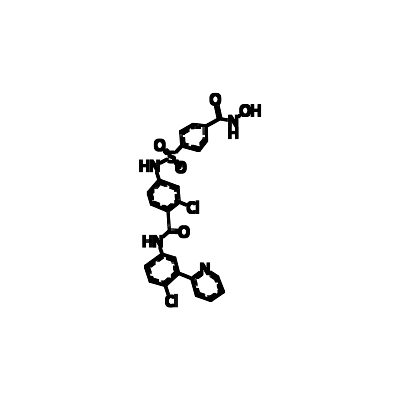 O=C(NO)c1ccc(S(=O)(=O)Nc2ccc(C(=O)Nc3ccc(Cl)c(-c4ccccn4)c3)c(Cl)c2)cc1